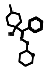 CN1CCC(O)(/C(=N/OC2CCCCO2)c2ccccc2)CC1